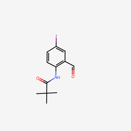 CC(C)(C)C(=O)Nc1ccc(I)cc1C=O